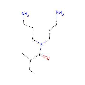 CCC(C)C(=O)N(CCCN)CCCN